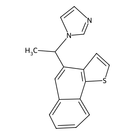 CC(c1cc2ccccc2c2sccc12)n1ccnc1